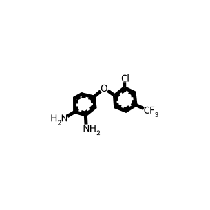 Nc1ccc(Oc2ccc(C(F)(F)F)cc2Cl)cc1N